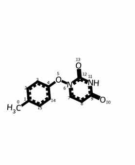 Cc1ccc(On2ccc(=O)[nH]c2=O)cc1